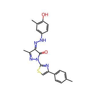 CC1=NN(c2nc(-c3ccc(C)cc3)cs2)C(=O)C1=NNc1ccc(O)c(C)c1